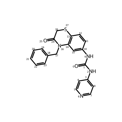 O=C(Nc1ccncc1)Nc1ccc2c(c1)N(Cc1ccccc1)C(=O)CS2